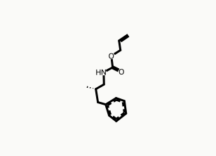 C=CCOC(=O)NC[C@@H](C)Cc1ccccc1